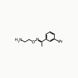 C/C(=N\OCCN)c1cccc(C(C)C)c1